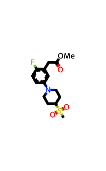 COC(=O)Cc1cc(N2CCC(S(C)(=O)=O)CC2)ccc1F